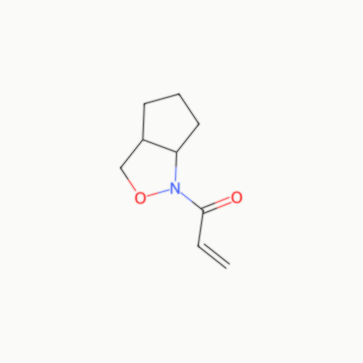 C=CC(=O)N1OCC2CCCC21